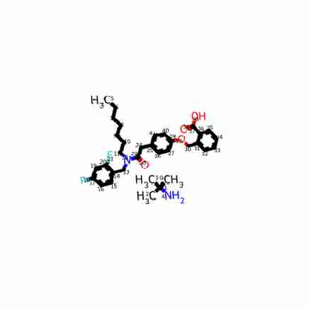 CC(C)(C)N.CCCCCCCN(Cc1ccc(F)cc1F)C(=O)Cc1ccc(OCc2ccccc2C(=O)O)cc1